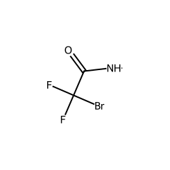 [NH]C(=O)C(F)(F)Br